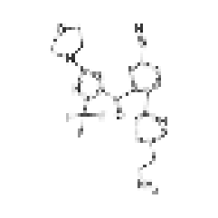 N#Cc1ccc(-c2ccc(CCN)cn2)c(C(=O)c2sc(N3CCOCC3)nc2C(F)(F)F)c1